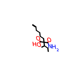 C=CCCCCC(C(N)=O)(C(=O)O)C(C)CC